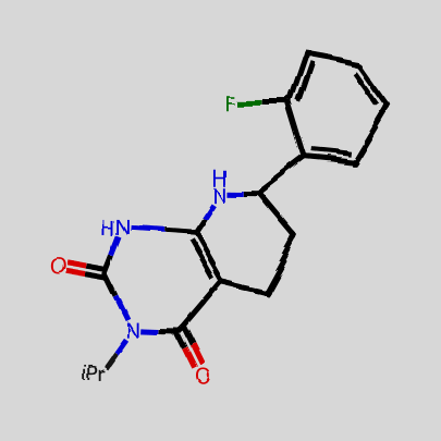 CC(C)n1c(=O)[nH]c2c(c1=O)CCC(c1ccccc1F)N2